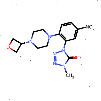 Cn1nnn(-c2cc([N+](=O)[O-])ccc2N2CCN(C3COC3)CC2)c1=O